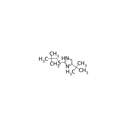 CC(C)(C)CSc1nc(C(C)(C)C)c[nH]1